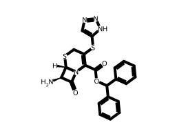 N[C@@H]1C(=O)N2C(C(=O)OC(c3ccccc3)c3ccccc3)=C(Sc3cnn[nH]3)CS[C@@H]12